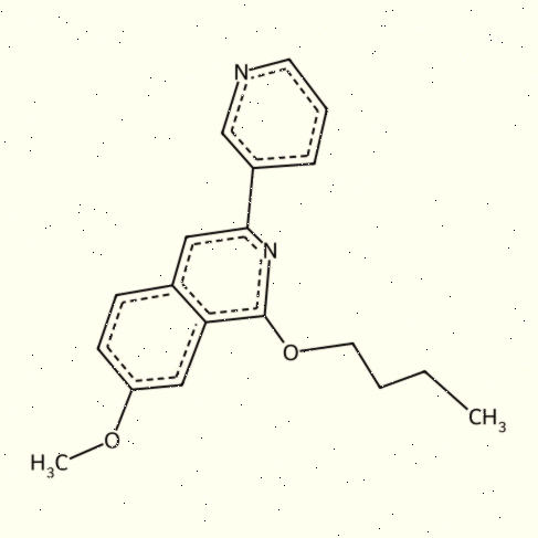 CCCCOc1nc(-c2cccnc2)cc2ccc(OC)cc12